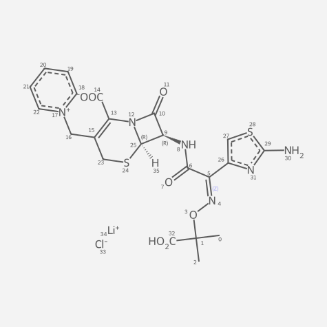 CC(C)(O/N=C(\C(=O)N[C@@H]1C(=O)N2C(C(=O)[O-])=C(C[n+]3ccccc3)CS[C@H]12)c1csc(N)n1)C(=O)O.[Cl-].[Li+]